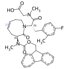 Cc1cc(F)ccc1C[C@@H](C(=O)N(C)CC(=O)O)N1CC/C=C\C[C@H](N(C)C(=O)OCC2c3ccccc3-c3ccccc32)C1=O